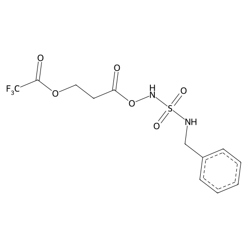 O=C(CCOC(=O)C(F)(F)F)ONS(=O)(=O)NCc1ccccc1